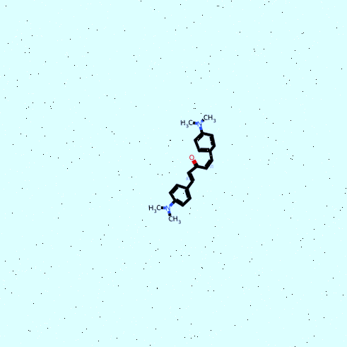 CN(C)c1ccc(/C=C\C(=O)/C=C/c2ccc(N(C)C)cc2)cc1